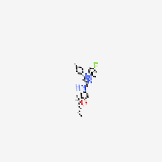 CCCCC1Oc2ccc(NCc3cc(-c4ccc(C)cc4)n(-c4ccc(F)cc4)n3)cc2C1(C)C